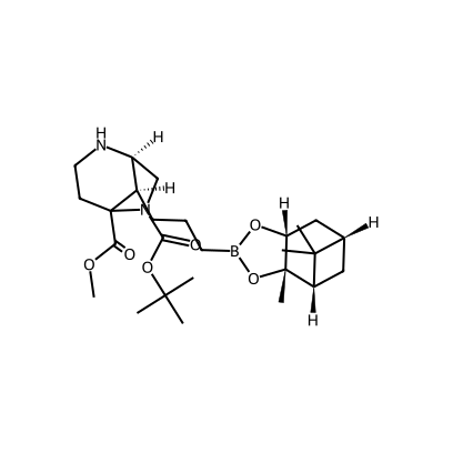 COC(=O)C12CCN[C@@H](CN1C(=O)OC(C)(C)C)[C@H]2CCCB1O[C@@H]2C[C@@H]3C[C@@H](C3(C)C)[C@]2(C)O1